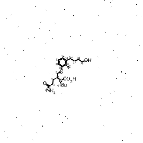 CC(C)(C)N(C(=O)O)[C@@H](CCC(N)=O)COc1cccc(CCCCO)c1F